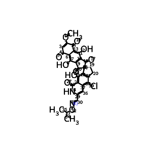 COC1=CC(=O)c2c(O)c3c(c(O)c2C1=O)C(=O)[C@]1(CCc2c1c(O)c1c(=O)[nH]c(/C=N/OC(C)C)cc1c2Cl)C3=O